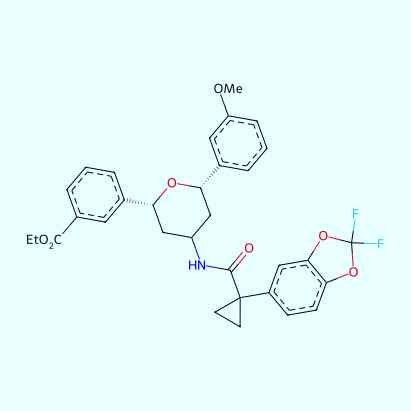 CCOC(=O)c1cccc([C@H]2CC(NC(=O)C3(c4ccc5c(c4)OC(F)(F)O5)CC3)C[C@@H](c3cccc(OC)c3)O2)c1